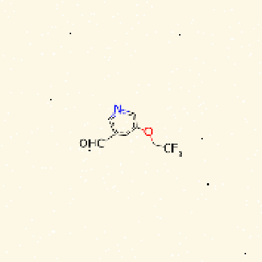 O=Cc1cncc(OCC(F)(F)F)c1